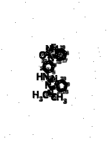 CN(C)c1nc(N[C@H]2CC[C@@H](N(C(N)=O)c3ccccc3F)CC2)nc2c1CCCC2